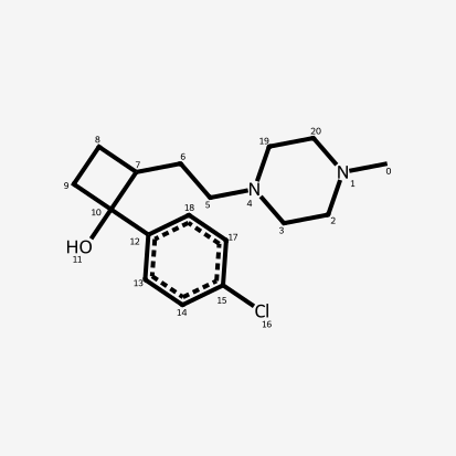 CN1CCN(CCC2CCC2(O)c2ccc(Cl)cc2)CC1